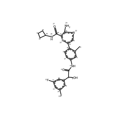 Cc1cc(NC(=O)C(O)c2cc(F)cc(F)c2)ccc1-c1cnc(N)c(C(=O)NC2CCC2)n1